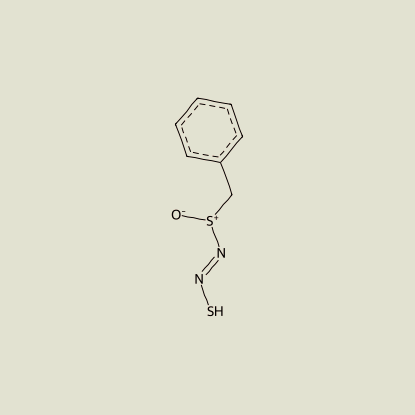 [O-][S+](Cc1ccccc1)N=NS